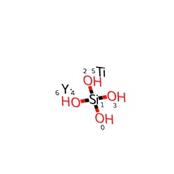 O[Si](O)(O)O.[Ti].[Y]